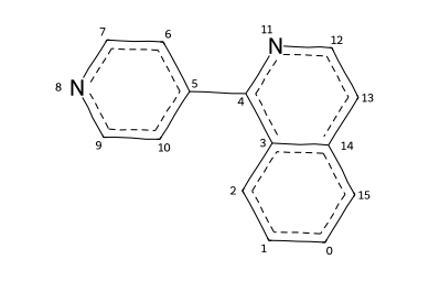 c1ccc2c(-c3ccncc3)nccc2c1